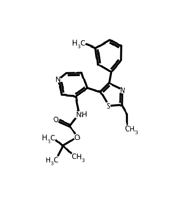 CCc1nc(-c2cccc(C)c2)c(-c2ccncc2NC(=O)OC(C)(C)C)s1